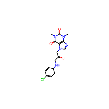 Cn1c(=O)c2c(ncn2CC(=O)CNC2C=CC(Cl)=CC2)n(C)c1=O